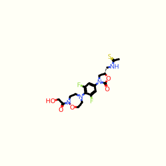 CC(=S)NC[C@H]1CN(c2cc(F)c(N3CCON(C(=O)CO)CC3)c(F)c2)C(=O)O1